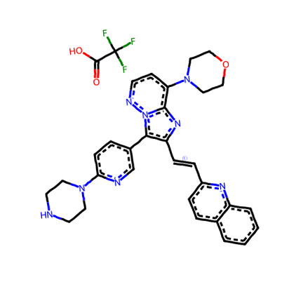 C(=C\c1nc2c(N3CCOCC3)ccnn2c1-c1ccc(N2CCNCC2)nc1)/c1ccc2ccccc2n1.O=C(O)C(F)(F)F